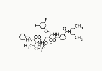 CCCN(CCC)C(=O)c1cccc(C(=O)N[C@@H](COc2cc(F)cc(F)c2)[C@@H](O)C[C@@H](OC)C(=O)N[C@H](C(=O)NCc2ccccc2)C(C)C)c1